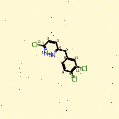 Clc1ccc(Cc2ccc(Cl)c(Cl)c2)nn1